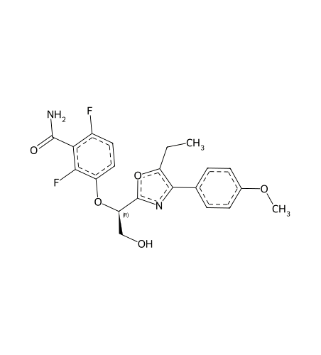 CCc1oc([C@@H](CO)Oc2ccc(F)c(C(N)=O)c2F)nc1-c1ccc(OC)cc1